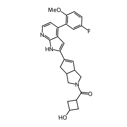 COc1ccc(F)cc1-c1ccnc2[nH]c(C3=CC4CN(C(=O)C5CC(O)C5)CC4C3)cc12